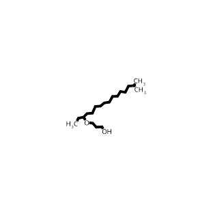 CCC(CCCCCCCCCCCC(C)C)OCCCO